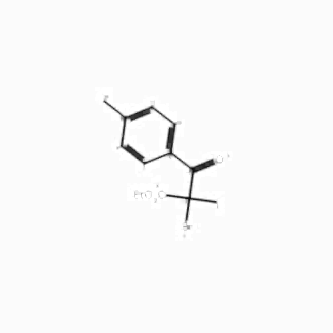 CCOC(=O)C(C)(Br)C(=O)c1ccc(C)cc1